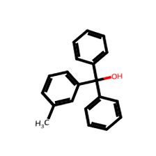 Cc1cccc(C(O)(c2ccccc2)c2ccccc2)c1